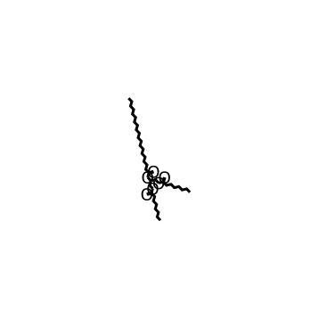 CCCCCCCCCCCCCCCCCCCC(=O)OC(COC(=O)CCCCCCC)COC(=O)CCCCCCC